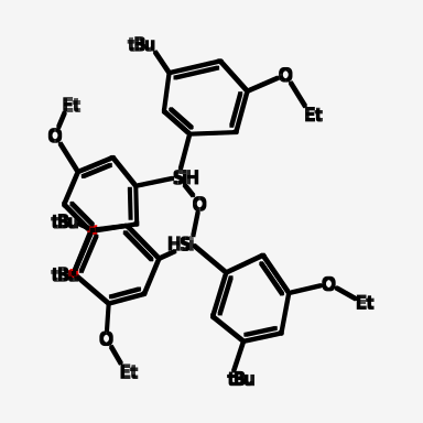 CCOc1cc([SiH](O[SiH](c2cc(OCC)cc(C(C)(C)C)c2)c2cc(OCC)cc(C(C)(C)C)c2)c2cc(OCC)cc(C(C)(C)C)c2)cc(C(C)(C)C)c1